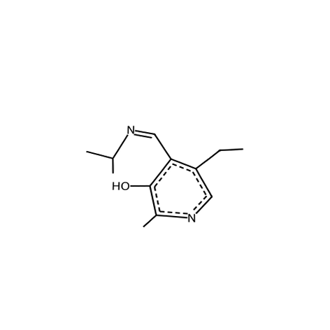 CCc1cnc(C)c(O)c1/C=N\C(C)C